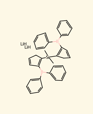 C[Si](C)(C1=C(B(c2ccccc2)c2ccccc2)C=CC1)C1=C(B(c2ccccc2)c2ccccc2)C=CC1.[LiH].[LiH]